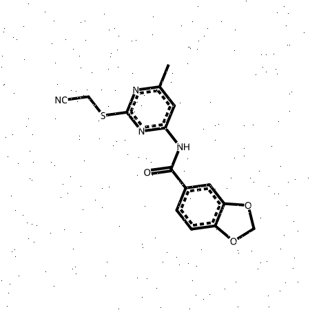 Cc1cc(NC(=O)c2ccc3c(c2)OCO3)nc(SCC#N)n1